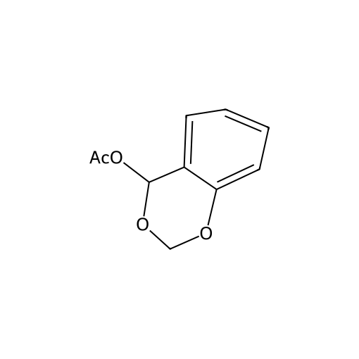 CC(=O)OC1OCOc2ccccc21